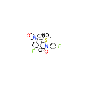 Cc1cc(C(C#N)(c2c([N+](=O)[O-])sc3c2ccc(=O)n3-c2ccc(F)cc2)N2CCOCC2)ccc1F